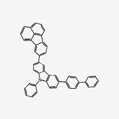 c1ccc(-c2ccc(-c3ccc4c(c3)c3cc(-c5ccc6c(c5)-c5cccc7cccc-6c57)ccc3n4-c3ccccc3)cc2)cc1